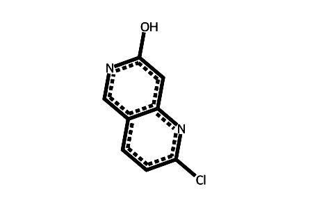 Oc1cc2nc(Cl)ccc2cn1